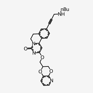 CCCCNCC#Cc1ccc2c(c1)CCn1c-2cc(OCC2COc3ncccc3O2)nc1=O